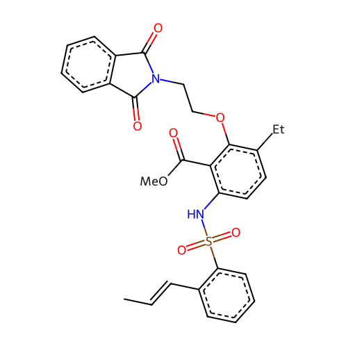 CC=Cc1ccccc1S(=O)(=O)Nc1ccc(CC)c(OCCN2C(=O)c3ccccc3C2=O)c1C(=O)OC